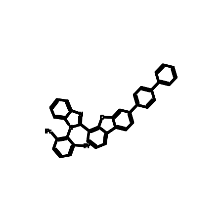 CC(C)c1cccc(C(C)C)c1-n1c(-c2cccc3c2oc2cc(-c4ccc(-c5ccccc5)cc4)ccc23)nc2ccccc21